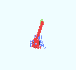 CC[C@H](C)[C@@H]1NC(=O)CNC(=O)[C@@H]2Cc3c([nH]c4c(CSCCCCNC(=O)CCOCCOCCOCCOCCOCCOCCOCCC(=O)Oc5c(F)c(F)c(F)c(F)c5F)c(OC)ccc34)[S+]([O-])C[C@@H](NC(=O)CNC1=O)C(=O)N[C@@H](CC(N)=O)C(=O)N1C[C@H](O)C[C@H]1C(=O)N[C@@H]([C@@H](C)[C@@H](O)CO)C(=O)N2